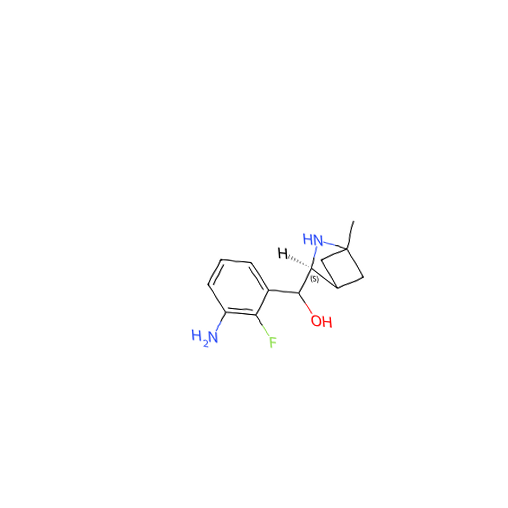 CC12CC(C1)[C@@H](C(O)c1cccc(N)c1F)N2